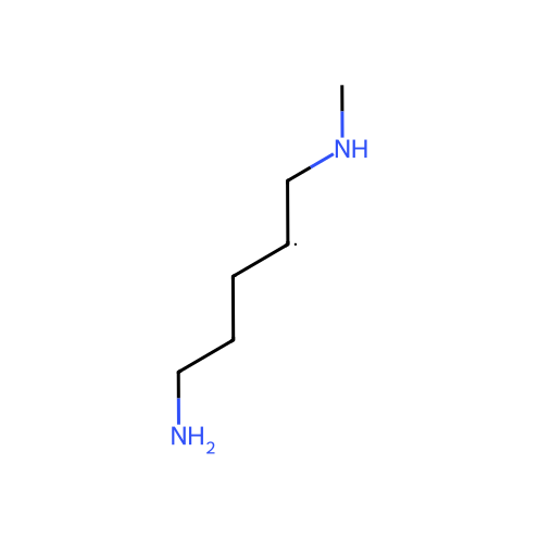 CNC[CH]CCCN